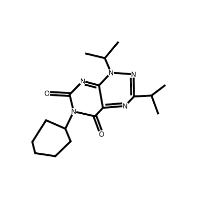 CC(C)c1nc2c(=O)n(C3CCCCC3)c(=O)nc-2n(C(C)C)n1